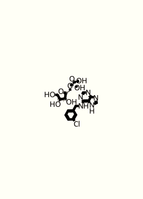 Clc1cccc(CNc2ncnc3nc[nH]c23)c1.O=P(O)(O)OC[C@H]1OC(O)[C@H](O)[C@@H]1O